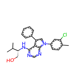 Cc1ccc(-n2cc(-c3ccccc3)c3c(N[C@H](CO)C(C)C)ncnc32)cc1Cl